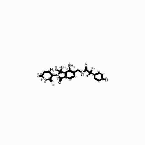 Bc1c(CNC(=O)C(F)(F)c2ccc(Cl)cc2)ccc2c1C(B)(B)N(C1CCC(=O)NC1=O)C2=O